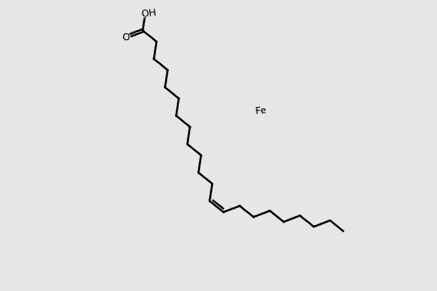 CCCCCCCC/C=C\CCCCCCCCCCCC(=O)O.[Fe]